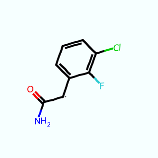 NC(=O)[CH]c1cccc(Cl)c1F